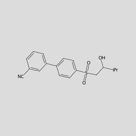 CC(C)C(O)CS(=O)(=O)c1ccc(-c2cccc(C#N)c2)cc1